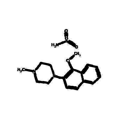 COc1c(N2CCN(C)CC2)ccc2ccccc12.N[SH](=O)=O